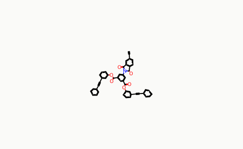 C#Cc1ccc2c(c1)C(=O)N(c1cc(C(=O)Oc3cccc(C#Cc4ccccc4)c3)cc(C(=O)Oc3cccc(C#Cc4ccccc4)c3)c1)C2=O